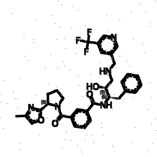 Cc1coc([C@H]2CCCN2C(=O)c2cccc(C(=O)N[C@@H](Cc3ccccc3)[C@@H](O)CNCc3cncc(C(F)(F)F)c3)c2)n1